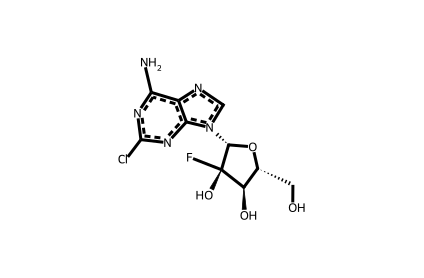 Nc1nc(Cl)nc2c1ncn2[C@@H]1O[C@H](CO)[C@@H](O)[C@]1(O)F